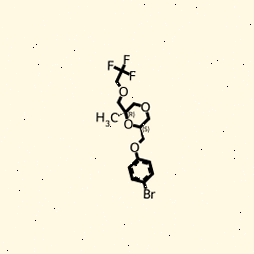 C[C@]1(COCC(F)(F)F)COC[C@@H](COc2ccc(Br)cc2)O1